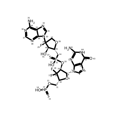 Nc1nc2c(ncn2[C@@H]2O[C@H](CO[PH](O)=S)C(F)(F)[C@H]2OP(O)(=S)C[C@H]2OC[C@@](F)(n3cnc4c(N)ncnc43)[C@@H]2O)c(=O)[nH]1